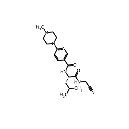 CC(C)C[C@H](NC(=O)c1ccc(N2CCN(C)CC2)nc1)C(=O)NCC#N